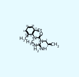 C=CCN(C(=N)N)C(=O)N(C)c1c(C)cccc1CC